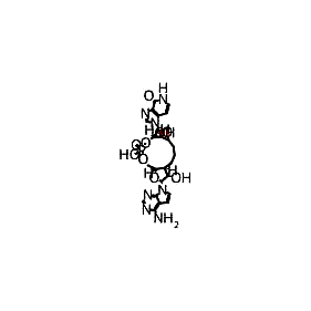 Nc1ncnc2c1ccn2[C@@H]1O[C@@H]2COP(=O)(O)O[C@@H]3[C@H](O)C(CCC[C@H]2[C@H]1O)O[C@H]3n1cnc2c(=O)[nH]ccc21